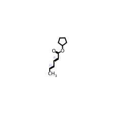 C/C=C/C=C/C(=O)OC1CCCC1